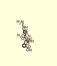 CC(C)(C(=O)N[C@H]1Cc2cccc(C(=O)O)c2OB1O)n1cc(CNCCN)nn1